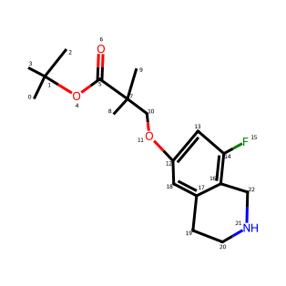 CC(C)(C)OC(=O)C(C)(C)COc1cc(F)c2c(c1)CCNC2